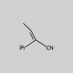 C/C=C(/C#N)C(C)C